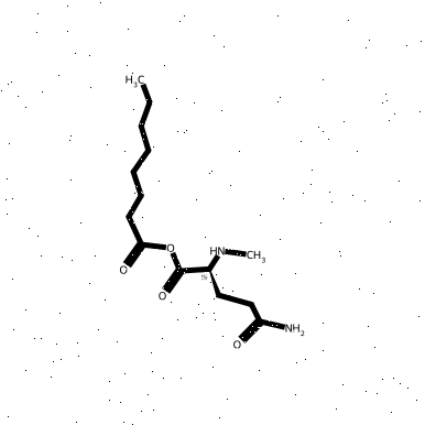 CCCCCCCC(=O)OC(=O)[C@H](CCC(N)=O)NC